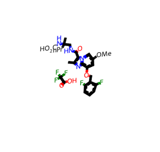 CCCC(C)(CNC(=O)c1c(C)nc2c(OCc3c(F)cccc3F)cc(OC)cn12)NC(=O)O.O=C(O)C(F)(F)F